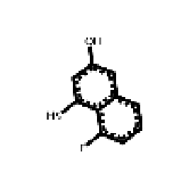 Oc1cc(S)c2c(F)cccc2c1